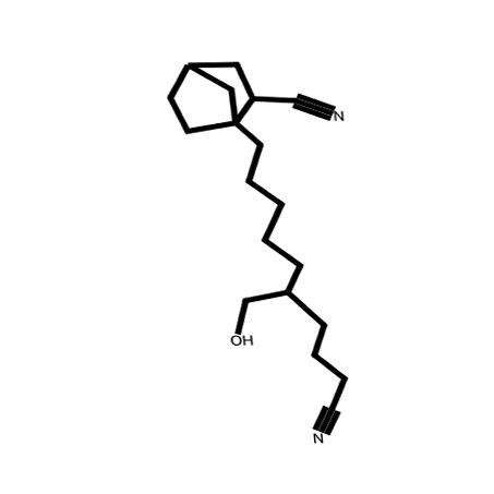 N#CCCCC(CO)CCCCCC12CCC(CC1C#N)C2